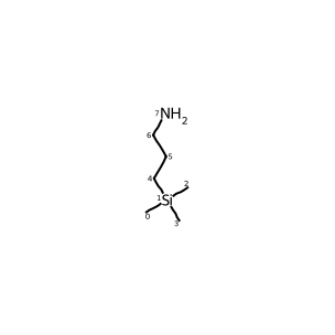 C[Si](C)(C)CCCN